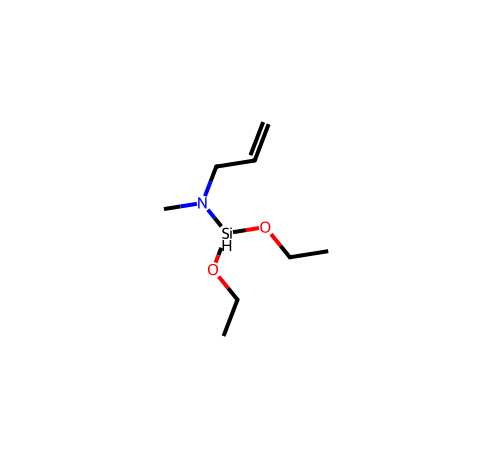 C=CCN(C)[SiH](OCC)OCC